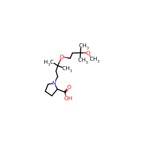 COC(C)(C)CCOC(C)(C)CCN1CCCC1C(=O)O